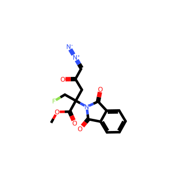 COC(=O)C(CF)(CC(=O)C=[N+]=[N-])N1C(=O)c2ccccc2C1=O